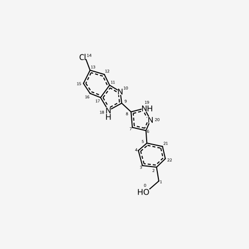 OCc1ccc(-c2cc(-c3nc4cc(Cl)ccc4[nH]3)[nH]n2)cc1